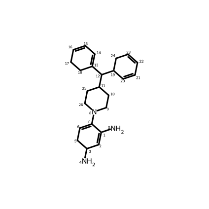 NC1=CC(N)CC=C1N1CCC(C(C2=CC=CCC2)C2C=CC=CC2)CC1